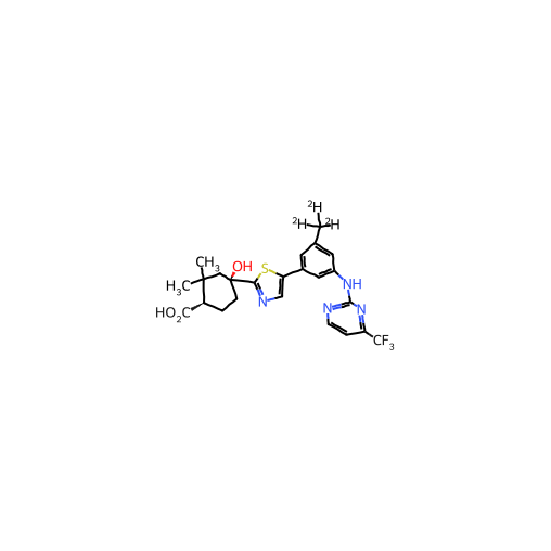 [2H]C([2H])([2H])c1cc(Nc2nccc(C(F)(F)F)n2)cc(-c2cnc([C@]3(O)CC[C@@H](C(=O)O)C(C)(C)C3)s2)c1